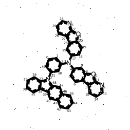 c1cc(N(c2ccc3c(c2)oc2ncccc23)c2ccc3oc4ncccc4c3c2)cc(-n2c3ccccc3c3cc4ccccc4cc32)c1